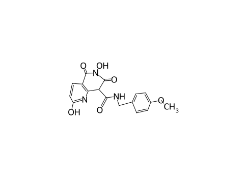 COc1ccc(CNC(=O)C2C(=O)N(O)C(=O)c3ccc(O)nc32)cc1